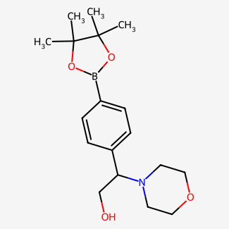 CC1(C)OB(c2ccc(C(CO)N3CCOCC3)cc2)OC1(C)C